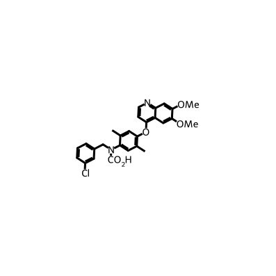 COc1cc2nccc(Oc3cc(C)c(N(Cc4cccc(Cl)c4)C(=O)O)cc3C)c2cc1OC